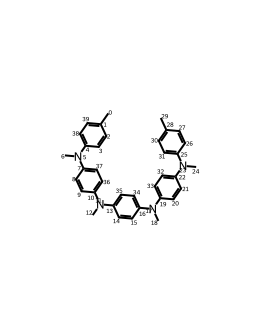 Cc1ccc(N(C)c2ccc(N(C)c3ccc(N(C)c4ccc(N(C)c5ccc(C)cc5)cc4)cc3)cc2)cc1